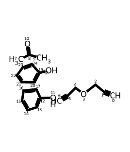 C#CCOCC#C.CC(C)=O.Oc1ccccc1.Oc1ccccc1